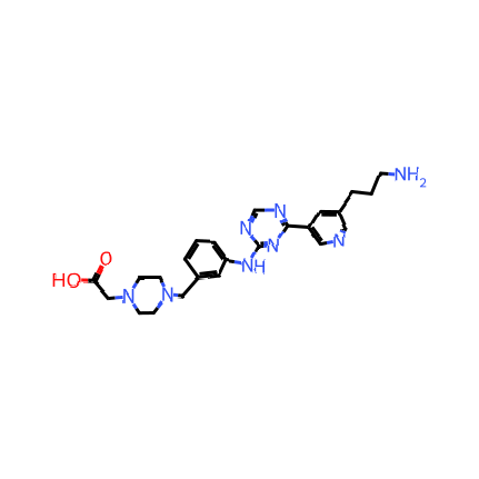 NCCCc1cncc(-c2ncnc(Nc3cccc(CN4CCN(CC(=O)O)CC4)c3)n2)c1